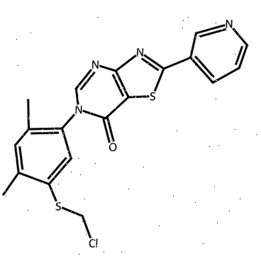 Cc1cc(C)c(-n2cnc3nc(-c4cccnc4)sc3c2=O)cc1SCCl